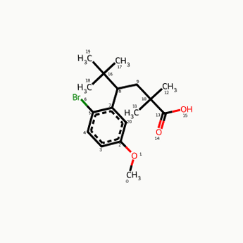 COc1ccc(Br)c(C(CC(C)(C)C(=O)O)C(C)(C)C)c1